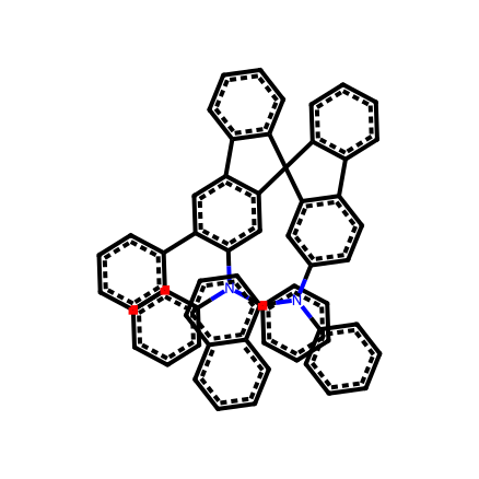 c1ccc(-c2cc3c(cc2N(c2ccccc2)c2ccccc2)C2(c4ccccc4-c4ccc(N(c5ccccc5)c5cccc6ccccc56)cc42)c2ccccc2-3)cc1